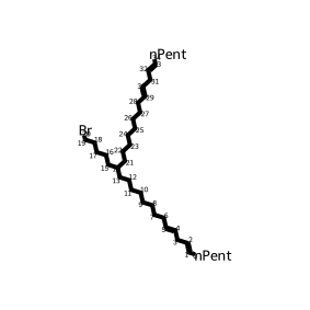 CCCCCC=CCC=CCCCCCCCCC(CCCCCBr)CCCCCCCCC=CCC=CCCCCC